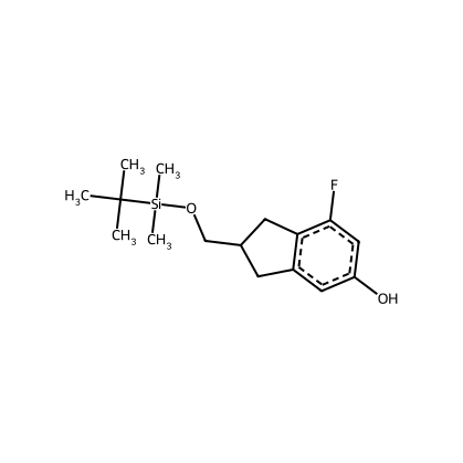 CC(C)(C)[Si](C)(C)OCC1Cc2cc(O)cc(F)c2C1